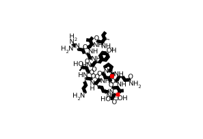 CC[C@H](C)[C@H](N)C(=O)N[C@H](C(=O)N[C@@H](CCCN=C(N)N)C(=O)N[C@@H](Cc1ccc(O)cc1)C(=O)N[C@H](C(=O)N[C@@H](CCCCN)C(=O)N[C@@H](CCCCN)C(=O)N[C@H](C(=O)N1CCC[C@H]1C(=O)N[C@@H](CCC(N)=O)C(=O)N[C@H](C(=O)N[C@@H](CO)C(=O)O)C(C)C)C(C)C)[C@@H](C)O)C(C)C